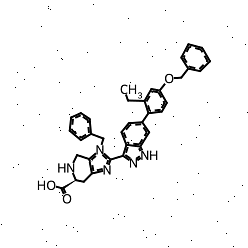 CCc1cc(OCc2ccccc2)ccc1-c1ccc2c(-c3nc4c(n3Cc3ccccc3)CN[C@H](C(=O)O)C4)n[nH]c2c1